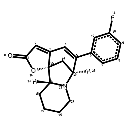 O=C1C=C2C=C(c3cccc(F)c3)[C@@H]3C[C@@]2(O1)[C@H]1CCCCN31